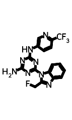 Nc1nc(Nc2ccc(C(F)(F)F)nc2)nc(-n2c(CF)nc3ccccc32)n1